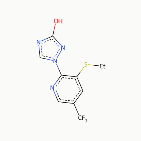 CCSc1cc(C(F)(F)F)cnc1-n1cnc(O)n1